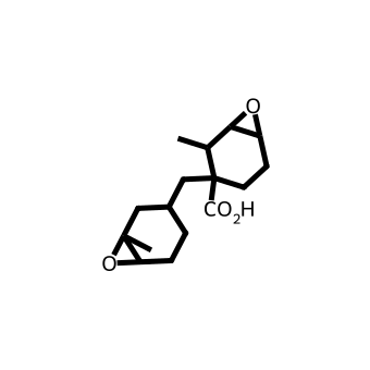 CC1C2OC2CCC1(CC1CCC2OC2(C)C1)C(=O)O